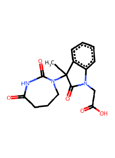 CC1(N2CCCC(=O)NC2=O)C(=O)N(CC(=O)O)c2ccccc21